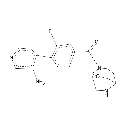 Nc1cnccc1-c1ccc(C(=O)N2CCC3CCC2CN3)cc1F